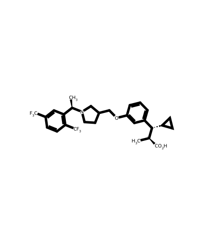 C[C@H](C(=O)O)[C@H](c1cccc(OCC2CCN([C@H](C)c3cc(C(F)(F)F)ccc3C(F)(F)F)C2)c1)C1CC1